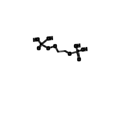 O=P(O)(O)OCCOOP(=O)(O)O